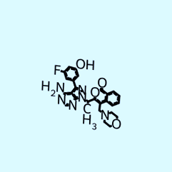 CC(c1oc(=O)c2ccccc2c1CN1CCOCC1)n1nc(-c2cc(O)cc(F)c2)c2c(N)ncnc21